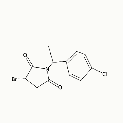 CC(c1ccc(Cl)cc1)N1C(=O)CC(Br)C1=O